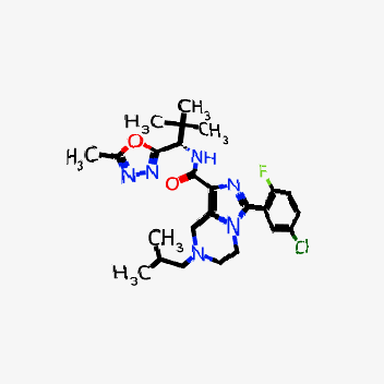 Cc1nnc([C@@H](NC(=O)c2nc(-c3cc(Cl)ccc3F)n3c2CN(CC(C)C)CC3)C(C)(C)C)o1